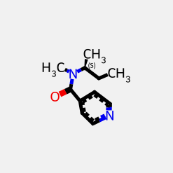 CC[C@H](C)N(C)C(=O)c1ccncc1